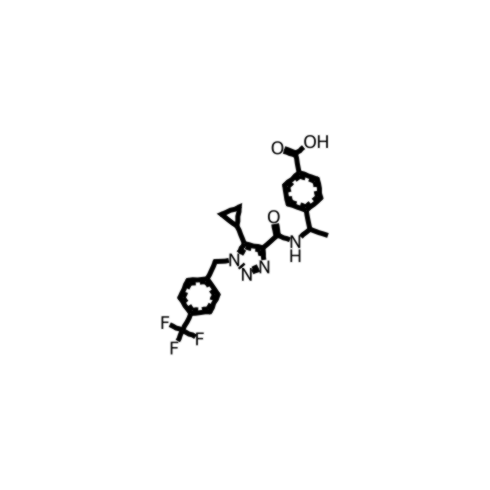 CC(NC(=O)c1nnn(Cc2ccc(C(F)(F)F)cc2)c1C1CC1)c1ccc(C(=O)O)cc1